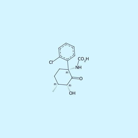 C[C@@H]1CC[C@@](NC(=O)O)(c2ccccc2Cl)C(=O)[C@@H]1O